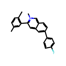 Cc1ccc(C)c(-c2cc3cc(-c4ccc(F)cc4)ccc3c[n+]2C)c1